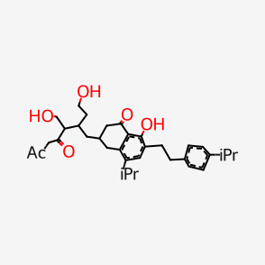 CC(=O)CC(=O)C(CO)C(CCO)CC1CC(=O)c2c(O)c(CCc3ccc(C(C)C)cc3)cc(C(C)C)c2C1